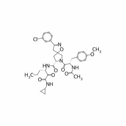 CCC[C@H](NC(=O)[C@@H]1CC2(CC(c3cccc(Cl)c3)=NO2)CN1C(=O)[C@H](Cc1ccc(OC)cc1)NC(C)=O)C(=O)C(=O)NC1CC1